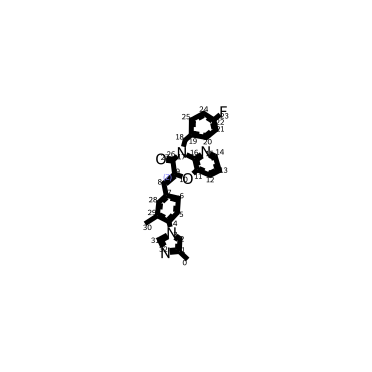 Cc1cn(-c2ccc(/C=C3\Oc4cccnc4N(Cc4ccc(F)cc4)C3=O)cc2C)cn1